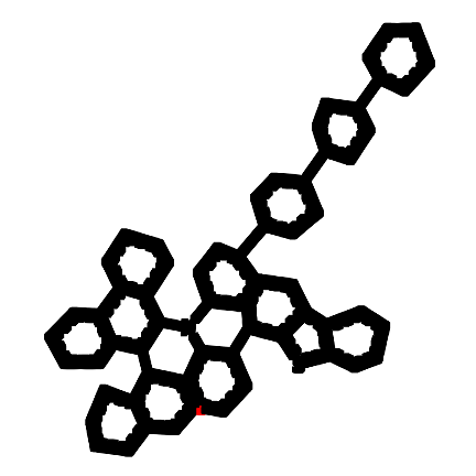 c1ccc(-c2ccc(-c3ccc(-c4ccc(N(c5ccccc5-c5cccc6c5sc5ccccc56)c5c(-c6cccc7ccccc67)c6ccccc6c6ccccc56)cc4)cc3)cc2)cc1